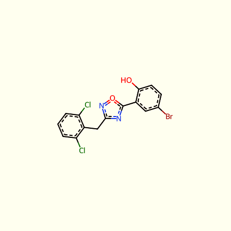 Oc1ccc(Br)cc1-c1nc(Cc2c(Cl)cccc2Cl)no1